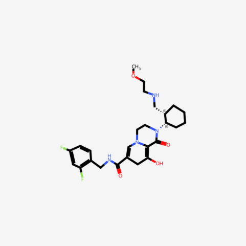 COCCNC[C@@H]1CCCC[C@@H]1N1CCN2C=C(C(=O)NCc3ccc(F)cc3F)CC(O)=C2C1=O